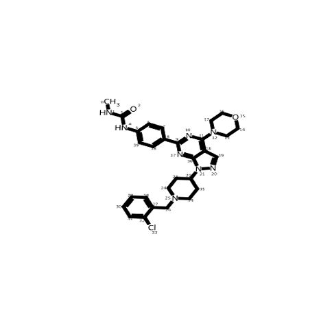 CNC(=O)Nc1ccc(-c2nc(N3CCOCC3)c3cnn(C4CCN(Cc5ccccc5Cl)CC4)c3n2)cc1